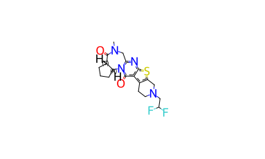 CN1Cc2nc3sc4c(c3c(=O)n2[C@@H]2CCC[C@@H]2C1=O)CCN(CC(F)F)C4